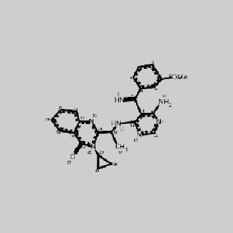 COc1cccc(C(=N)c2c(N)ncnc2NC(C)c2nc3ccccc3c(=O)n2C2CC2)c1